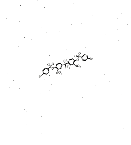 O=[N+]([O-])c1cc(C(c2ccc(OS(=O)(=O)c3ccc(Br)cc3)c([N+](=O)[O-])c2)(C(F)(F)F)C(F)(F)F)ccc1OS(=O)(=O)c1ccc(Br)cc1